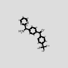 NC(c1ccc(C(=O)c2ccc(C(F)(F)F)cc2)cc1)c1ncccn1